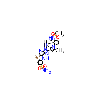 Cc1c(NS(C)(=O)=O)cccc1-n1c(C)cc(-c2nc3c(Nc4cccc(S(N)(=O)=O)c4)c(Br)cnc3[nH]2)c1C